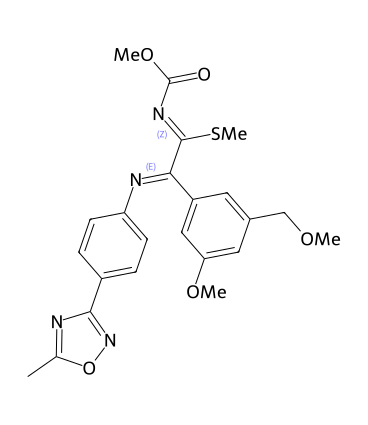 COCc1cc(OC)cc(C(=N\c2ccc(-c3noc(C)n3)cc2)/C(=N/C(=O)OC)SC)c1